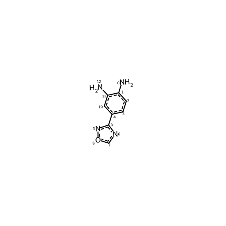 Nc1ccc(-c2ncon2)cc1N